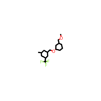 COCC1CCCC(OCC2CC(C)CC(C(F)(F)F)C2)C1